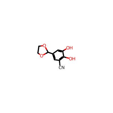 N#Cc1cc(C2OCCO2)cc(O)c1O